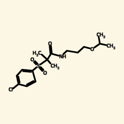 CC(C)OCCCNC(=O)C(C)(C)S(=O)(=O)c1ccc(Cl)cc1